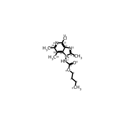 CCCCOC(=O)Nn1c(C)nc2c(Cl)nc(C)c(C)c21